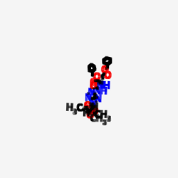 CC[C@H]1O[C@@H](n2cnc3c(NC(=O)N[C@@H](CCC(=O)OCc4ccccc4)C(=O)OCc4ccccc4)ncnc32)[C@@H]2OC(C)(C)O[C@@H]21